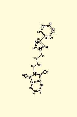 O=C1c2ccccc2C(=O)N1CCCCn1cnc(-c2cncnc2)c1